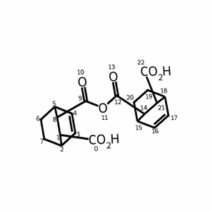 O=C(O)C1C2C=CC(CC2)C1C(=O)OC(=O)C1C2C=CC(CC2)C1C(=O)O